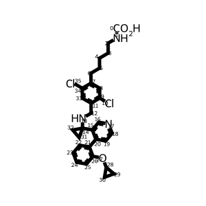 O=C(O)NCCCCCc1cc(Cl)c(CNC2(c3cnccc3-c3ccccc3OC3CC3)CC2)cc1Cl